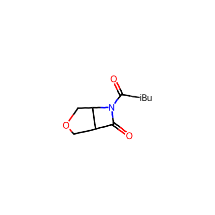 CCC(C)C(=O)N1C(=O)C2COCC21